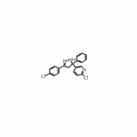 Clc1ccc(C2=NNC(c3ccccc3)(c3ccc(Cl)nc3)C2)cc1